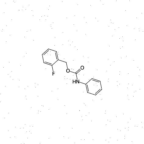 O=C(Nc1ccccc1)OCc1ccccc1F